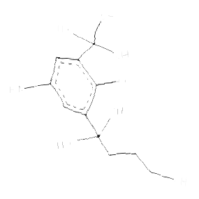 CCCCC(C)(C)c1cc(N)cc(C(C)(C)C)c1O